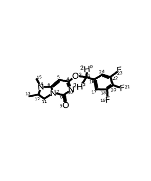 [2H]C([2H])(Oc1cc2n(c(=O)n1)CC(C)N2C)c1cc(F)c(F)c(F)c1